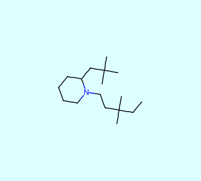 CCC(C)(C)CCN1CCCCC1CC(C)(C)C